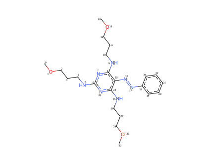 COCCCNc1nc(NCCCOC)c(N=Nc2ccccc2)c(NCCCOC)n1